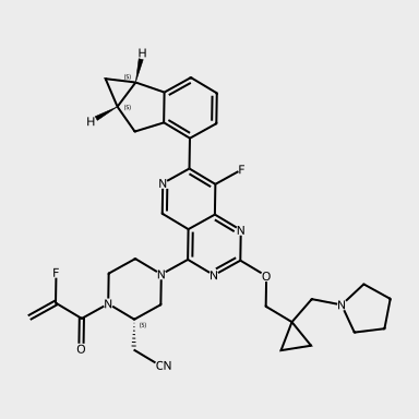 C=C(F)C(=O)N1CCN(c2nc(OCC3(CN4CCCC4)CC3)nc3c(F)c(-c4cccc5c4C[C@@H]4C[C@H]54)ncc23)C[C@@H]1CC#N